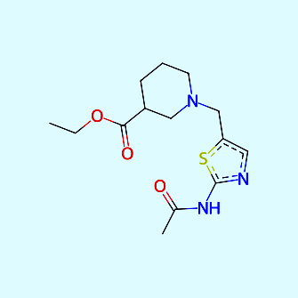 CCOC(=O)C1CCCN(Cc2cnc(NC(C)=O)s2)C1